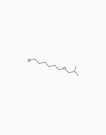 CC(C)COCCCCCC[O]